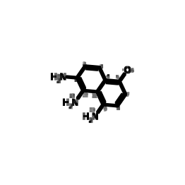 Nc1ccc2c([O])ccc(N)c2c1N